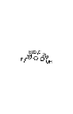 CCOC(=O)Cn1nc(C(F)(F)F)cc1-c1ccc(-c2ccc(CO)c(S(C)(=O)=O)c2)cc1